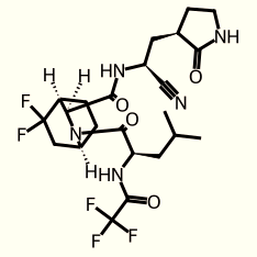 CC(C)C[C@@H](NC(=O)C(F)(F)F)C(=O)N1[C@H]2CC[C@@H]([C@H]1C(=O)N[C@H](C#N)C[C@H]1CCNC1=O)C(F)(F)C2